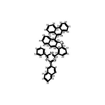 c1ccc(-c2nc(-c3ccc4ccccc4c3)nc(-c3cccc4oc5c(-c6cc7ccccc7c7ccccc67)c6ccccc6cc5c34)n2)cc1